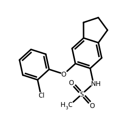 CS(=O)(=O)Nc1cc2c(cc1Oc1ccccc1Cl)CCC2